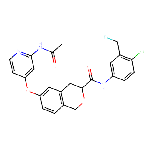 CC(=O)Nc1cc(Oc2ccc3c(c2)CC(C(=O)Nc2ccc(Cl)c(CF)c2)OC3)ccn1